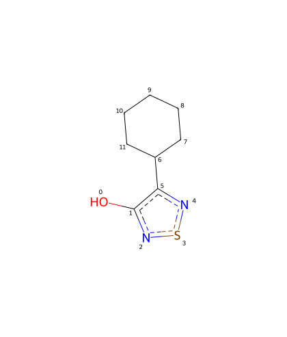 Oc1nsnc1C1CCCCC1